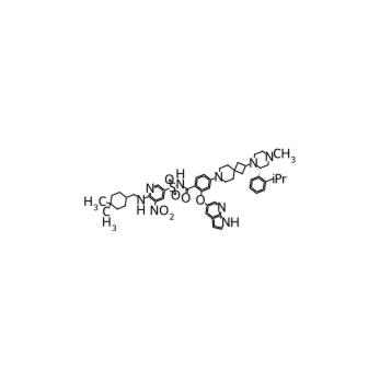 CC(C)c1ccccc1[C@H]1CN(C)CCN1C1CC2(CCN(c3ccc(C(=O)NS(=O)(=O)c4cnc(NCC5CCC(C)(C)CC5)c([N+](=O)[O-])c4)c(Oc4cnc5[nH]ccc5c4)c3)CC2)C1